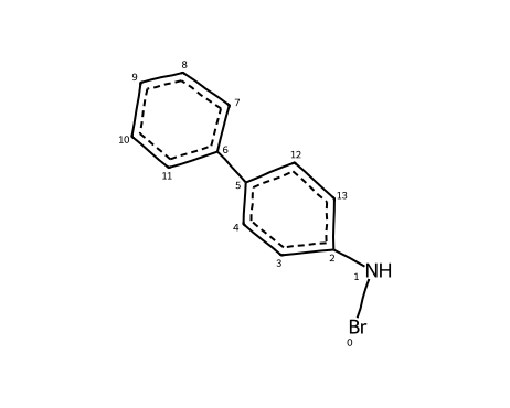 BrNc1ccc(-c2ccccc2)cc1